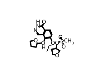 COc1ccc2c(=O)[nH]ncc2c1OC1CCCO1.CS(=O)(=O)OC1CCOC1